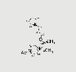 CC(=O)N1CCN(C(C)[C@H](C)OCCCN2CCCC2)CC1